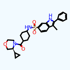 Cc1c(-c2ccccc2)[nH]c2cc(S(=O)(=O)NC3CCC(C(=O)N4CCOC[C@@H]4C4CC4)CC3)ccc12